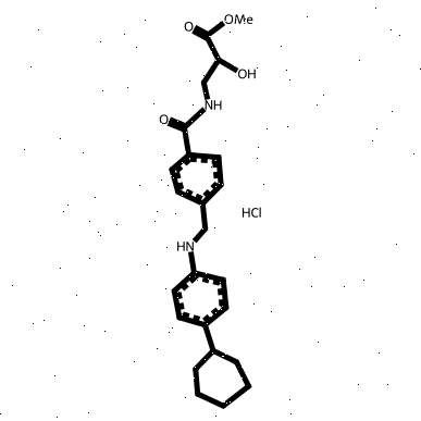 COC(=O)C(O)CNC(=O)c1ccc(CNc2ccc(C3CCCCC3)cc2)cc1.Cl